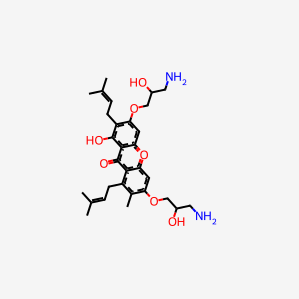 CC(C)=CCc1c(OCC(O)CN)cc2oc3cc(OCC(O)CN)c(C)c(CC=C(C)C)c3c(=O)c2c1O